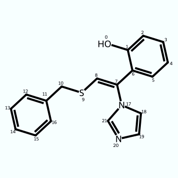 Oc1ccccc1C(=CSCc1ccccc1)n1ccnc1